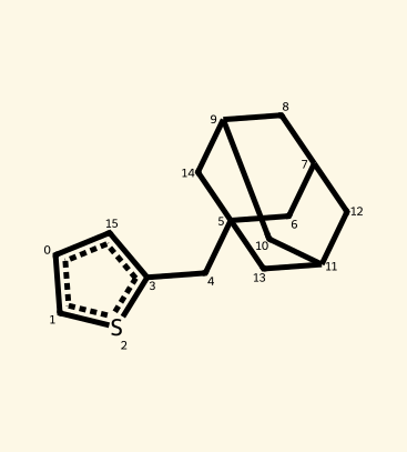 c1csc(CC23CC4CC(CC(C4)C2)C3)c1